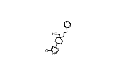 OCC1(CCCc2ccccc2)CCN(c2cc(Cl)ncn2)CC1